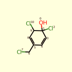 OC1(Cl)C=CC(CCl)=CC1Cl